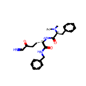 CC(=O)N(C)[C@@H](Cc1ccccc1)C(=O)N[C@@H](CCC(=O)C=N)C(=O)NCc1ccccc1